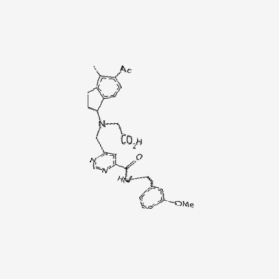 COc1cccc(CNC(=O)c2cc(CN(CC(=O)O)C3CCc4c3ccc(C(C)=O)c4C)ncn2)c1